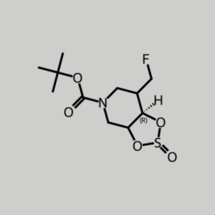 CC(C)(C)OC(=O)N1CC(CF)[C@H]2OS(=O)OC2C1